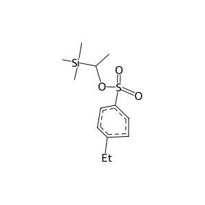 CCc1ccc(S(=O)(=O)OC(C)[Si](C)(C)C)cc1